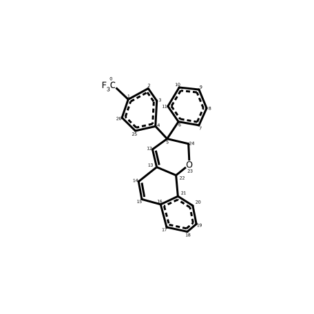 FC(F)(F)c1ccc(C2(c3ccccc3)C=C3C=Cc4ccccc4C3OC2)cc1